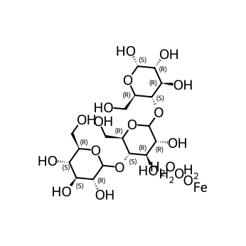 O.O.O.OC[C@H]1OC(O[C@H]2[C@H](O)[C@@H](O)C(O[C@H]3[C@H](O)[C@@H](O)[C@@H](O)O[C@@H]3CO)O[C@@H]2CO)[C@H](O)[C@@H](O)[C@@H]1O.[Fe]